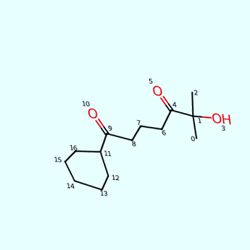 CC(C)(O)C(=O)CCCC(=O)C1CCCCC1